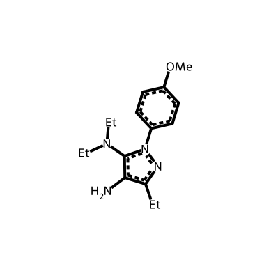 CCc1nn(-c2ccc(OC)cc2)c(N(CC)CC)c1N